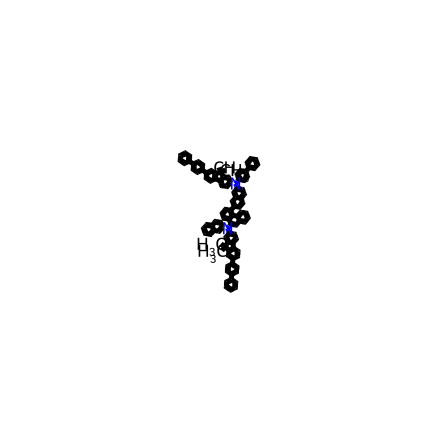 CC1(C)c2cc(-c3ccc(-c4ccccc4)cc3)ccc2-c2ccc(N(c3ccc(-c4ccccc4)cc3)c3ccc4ccc(-c5cccc6c(N(c7ccc8c(c7)C(C)(C)c7cc(-c9ccc(-c%10ccccc%10)cc9)ccc7-8)c7ccc8ccccc8c7)cc7ccccc7c56)cc4c3)cc21